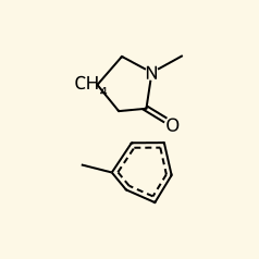 C.CN1CCCC1=O.Cc1ccccc1